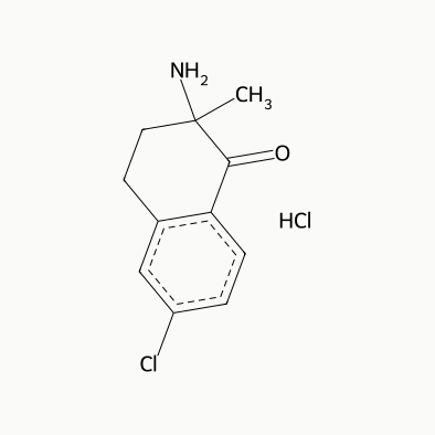 CC1(N)CCc2cc(Cl)ccc2C1=O.Cl